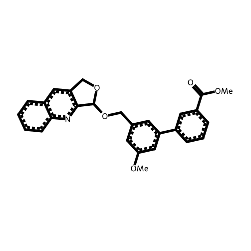 COC(=O)c1cccc(-c2cc(COC3OCc4cc5ccccc5nc43)cc(OC)c2)c1